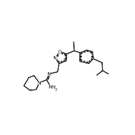 CC(C)Cc1ccc(C(C)c2cc(C/N=C(\N)N3CCCCC3)no2)cc1